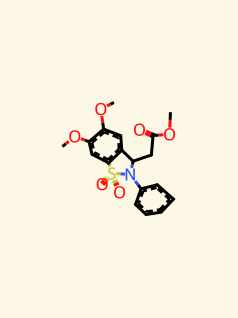 COC(=O)CC1c2cc(OC)c(OC)cc2S(=O)(=O)N1c1ccccc1